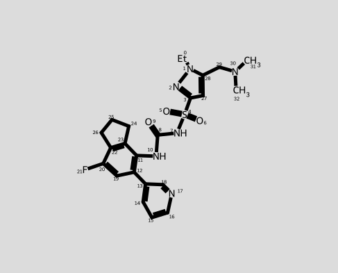 CCn1nc(S(=O)(=O)NC(=O)Nc2c(-c3cccnc3)cc(F)c3c2CCC3)cc1CN(C)C